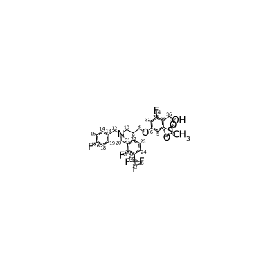 CS(=O)(=O)c1cc(OCCCN(Cc2ccc(F)cc2)Cc2cccc(C(F)(F)F)c2F)cc(F)c1CO